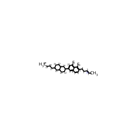 C/C=C/CCc1ccc2cc(C3CCC4CC(CCCC)CCC4C3)cc(F)c2c1F